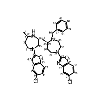 C[C@@H]1CCN(c2nc3cc(Cl)ccc3o2)CCN1.C[C@@H]1CCN(c2nc3cc(Cl)ccc3o2)CCN1Cc1ccccc1